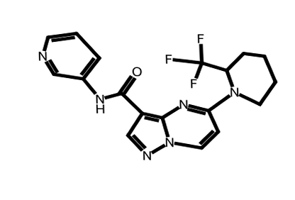 O=C(Nc1cccnc1)c1cnn2ccc(N3CCCCC3C(F)(F)F)nc12